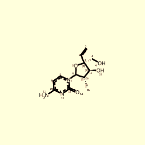 C=C[C@]1(CO)OC(n2ccc(N)nc2=O)[C@@H](F)[C@@H]1O